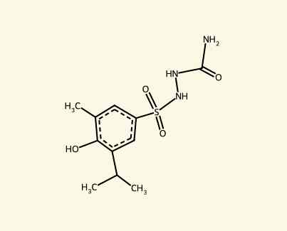 Cc1cc(S(=O)(=O)NNC(N)=O)cc(C(C)C)c1O